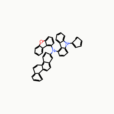 c1ccc(-n2c3ccccc3c3c(N(c4ccc5c(ccc6c7ccccc7ccc56)c4)c4cccc5oc6ccccc6c45)cccc32)cc1